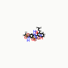 CC(C)CCc1c(=O)c(C2=NS(=O)(=O)c3cc(NS(=O)(=O)C(C)C)ccc3N2)c(O)n2ccccc12